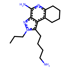 CCCn1nc2c(N)nc3c(c2c1CCCCN)CCCC3